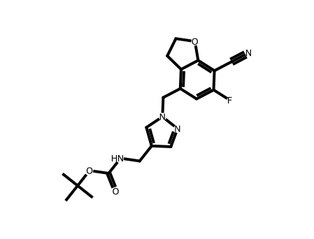 CC(C)(C)OC(=O)NCc1cnn(Cc2cc(F)c(C#N)c3c2CCO3)c1